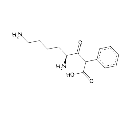 NCCCC[C@H](N)C(=O)[C](C(=O)O)c1ccccc1